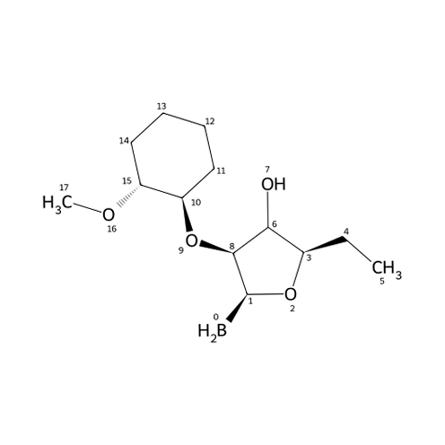 B[C@@H]1O[C@H](CC)C(O)[C@@H]1O[C@@H]1CCCC[C@H]1OC